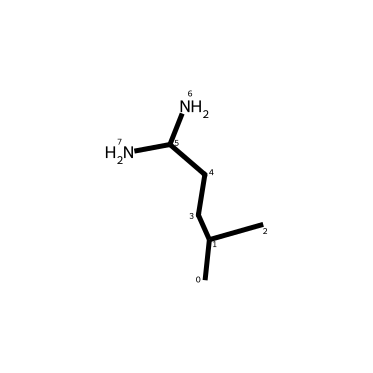 CC(C)CCC(N)N